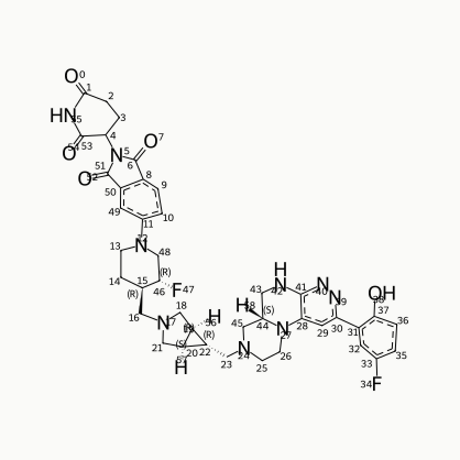 O=C1CCC(N2C(=O)c3ccc(N4CC[C@H](CN5C[C@@H]6[C@H](C5)[C@H]6CN5CCN6c7cc(-c8cc(F)ccc8O)nnc7NC[C@H]6C5)[C@@H](F)C4)cc3C2=O)C(=O)N1